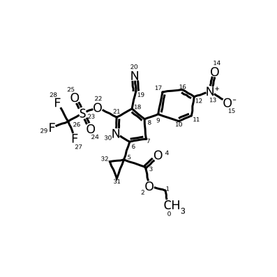 CCOC(=O)C1(c2cc(-c3ccc([N+](=O)[O-])cc3)c(C#N)c(OS(=O)(=O)C(F)(F)F)n2)CC1